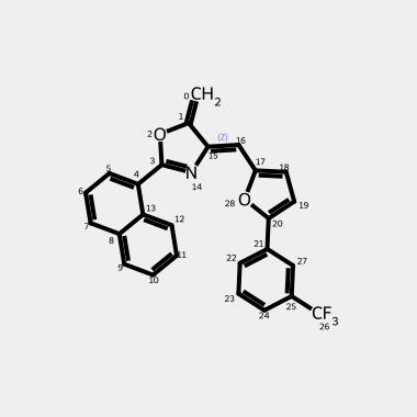 C=c1oc(-c2cccc3ccccc23)n/c1=C\c1ccc(-c2cccc(C(F)(F)F)c2)o1